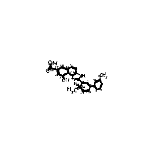 Cc1cccc(C2=CC(c3nc4c(ccc5cc(C(=O)O)cc(O)c54)[nH]3)C(C)(F)C=C2)c1